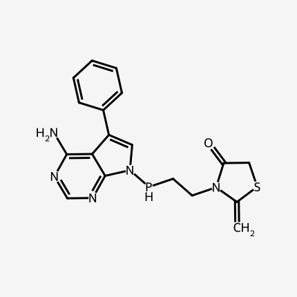 C=C1SCC(=O)N1CCPn1cc(-c2ccccc2)c2c(N)ncnc21